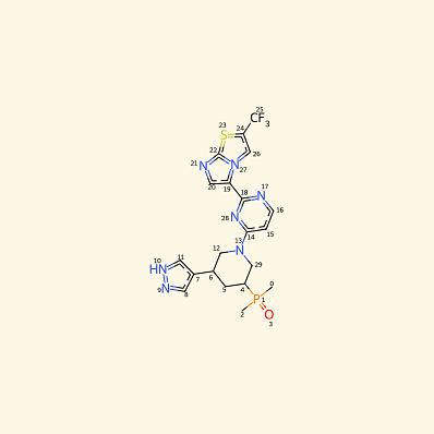 CP(C)(=O)C1CC(c2cn[nH]c2)CN(c2ccnc(-c3cnc4sc(C(F)(F)F)cn34)n2)C1